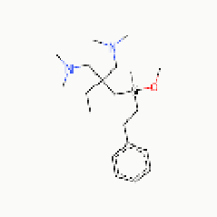 CCC(CN(C)C)(CN(C)C)C[Si](C)(CCc1ccccc1)OC